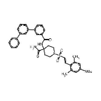 CNc1cc(C)c(/C=C/S(=O)(=O)N2CCC(NC(=O)c3cccc(-c4cccc(-c5ccccc5)c4)c3)(C(N)=O)CC2)c(C)c1